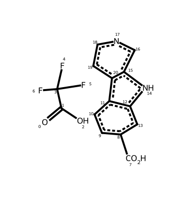 O=C(O)C(F)(F)F.O=C(O)c1ccc2c(c1)[nH]c1cnccc12